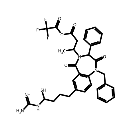 CC(CC(=O)OC(=O)C(F)(F)F)N1C(=O)c2cc(CCCC(S)NC(=N)N)ccc2N(Cc2ccccc2)C(=O)C1c1ccccc1